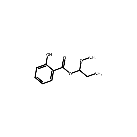 CCC(OC)OC(=O)c1ccccc1O